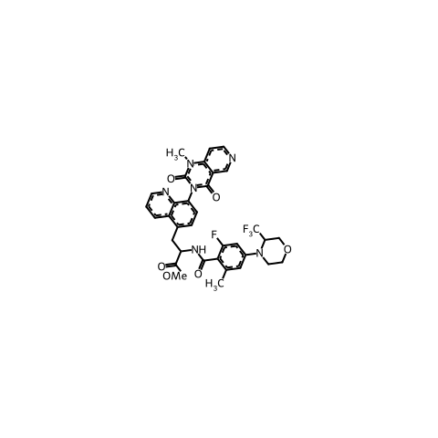 COC(=O)C(Cc1ccc(-n2c(=O)c3cnccc3n(C)c2=O)c2ncccc12)NC(=O)c1c(C)cc(N2CCOCC2C(F)(F)F)cc1F